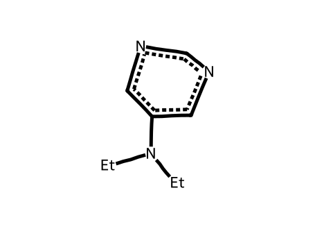 CCN(CC)c1cncnc1